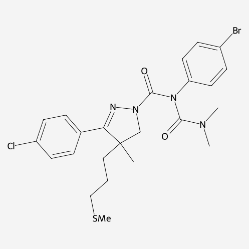 CSCCCC1(C)CN(C(=O)N(C(=O)N(C)C)c2ccc(Br)cc2)N=C1c1ccc(Cl)cc1